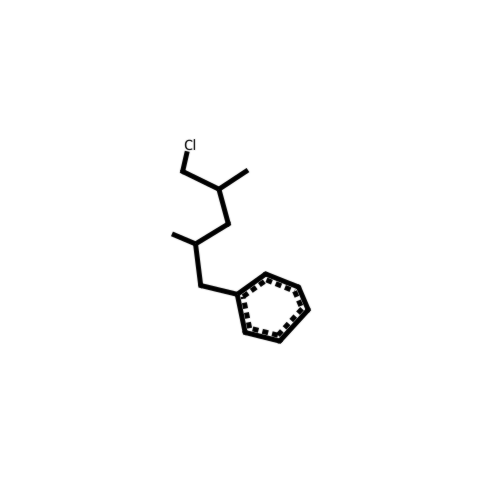 CC(CCl)CC(C)Cc1ccccc1